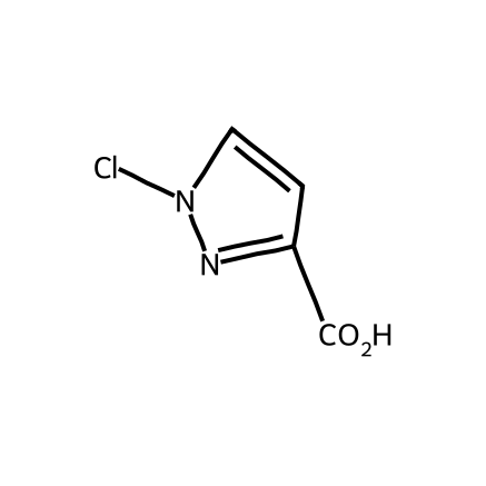 O=C(O)c1ccn(Cl)n1